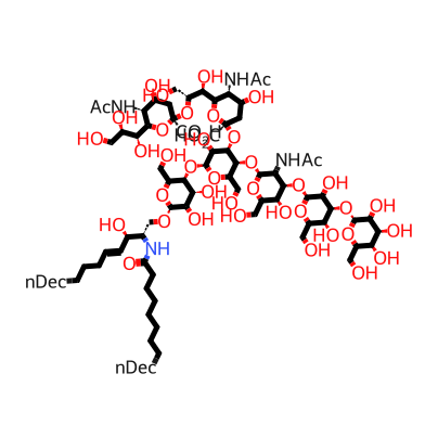 CCCCCCCCCCCCC/C=C/[C@@H](O)[C@H](CO[C@@H]1OC(CO)[C@@H](O[C@@H]2OC(CO)[C@H](O[C@@H]3OC(CO)[C@H](O)[C@H](O[C@@H]4OC(CO)[C@H](O)[C@H](O[C@H]5OC(CO)[C@H](O)[C@H](O)C5O)C4O)C3NC(C)=O)[C@H](O[C@]3(C(=O)O)CC(O)[C@@H](NC(C)=O)C([C@H](O)[C@@H](CO)O[C@]4(C(=O)O)CC(O)[C@@H](NC(C)=O)C([C@H](O)[C@H](O)CO)O4)O3)C2O)[C@H](O)C1O)NC(=O)CCCCCCCCCCCCCCCCC